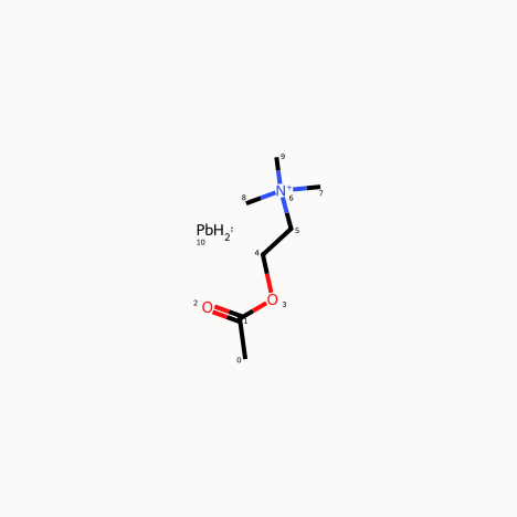 CC(=O)OCC[N+](C)(C)C.[PbH2]